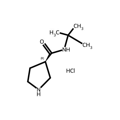 CC(C)(C)NC(=O)[C@@H]1CCNC1.Cl